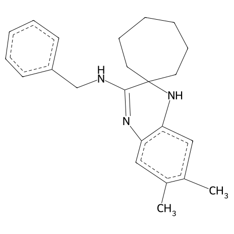 Cc1cc2c(cc1C)NC1(CCCCCC1)C(NCc1ccccc1)=N2